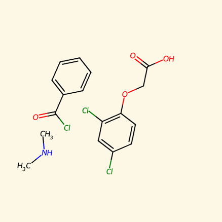 CNC.O=C(Cl)c1ccccc1.O=C(O)COc1ccc(Cl)cc1Cl